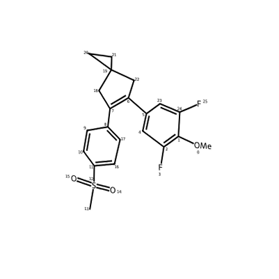 COc1c(F)cc(C2=C(c3ccc(S(C)(=O)=O)cc3)CC3(CC3)C2)cc1F